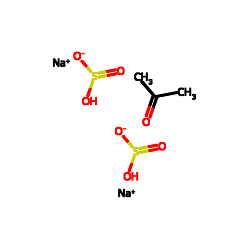 CC(C)=O.O=S([O-])O.O=S([O-])O.[Na+].[Na+]